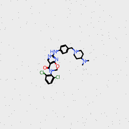 CN(C)C1CCN(Cc2ccc(Nc3ncc4c(n3)OCN(c3c(Cl)cccc3Cl)C4=O)cc2)CC1